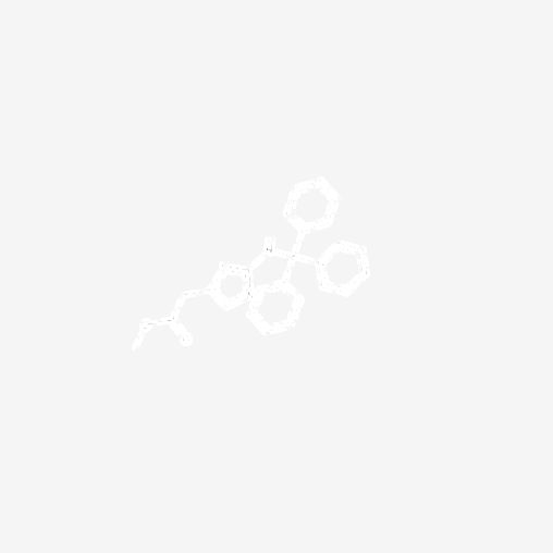 COC(=O)Cc1cnc(NC(c2ccccc2)(c2ccccc2)c2ccccc2)s1